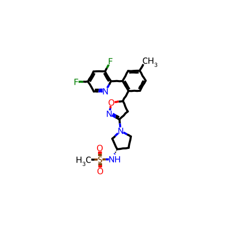 Cc1ccc(C2CC(N3CC[C@H](NS(C)(=O)=O)C3)=NO2)c(-c2ncc(F)cc2F)c1